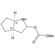 COC(=O)OC1C[C@H]2CCC[C@H]2N1